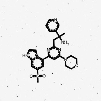 CC(N)(Cc1nc(-c2cc(S(C)(=O)=O)cc3[nH]ccc23)cc(N2CCOCC2)n1)c1cccnc1